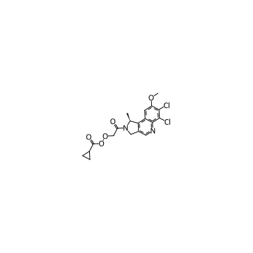 COc1cc2c3c(cnc2c(Cl)c1Cl)CN(C(=O)COOC(=O)C1CC1)[C@H]3C